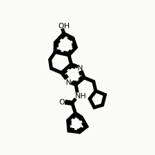 O=C(Nc1nc2c(nc1CC1CCCC1)-c1ccc(O)cc1CC2)c1ccccc1